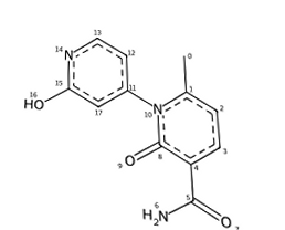 Cc1ccc(C(N)=O)c(=O)n1-c1ccnc(O)c1